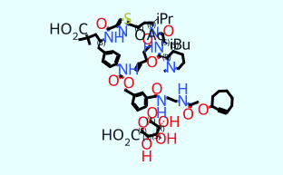 C#CCCCON(C(=O)[C@@H](NC(=O)[C@H]1CCCCN1C)[C@@H](C)CC)[C@H](C[C@@H](OC(C)=O)c1nc(C(=O)N[C@@H](Cc2ccc(NC(=O)OCc3ccc(O[C@@H]4O[C@H](C(=O)O)[C@@H](O)[C@H](O)[C@H]4O)c(C(=O)NCCNC(=O)COC4C#CCCCCC4)c3)cc2)CC(C)(C)C(=O)O)cs1)C(C)C